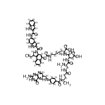 C[C@@H](CCC(=O)NC[C@H](N)C(=O)NC(CC(=O)O)C(=O)N[C@@H](CSSCCNC(=O)Oc1cc2c(c3ccccc13)C(CCl)CN2C(=O)c1cc2cc(NC(=O)c3cc4ccccc4[nH]3)ccc2[nH]1)C(=O)O)NC(=O)c1ccc(NCc2cnc3nc(N)[nH]c(=O)c3n2)cc1